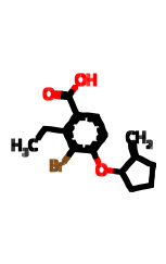 C=C1CCCC1Oc1ccc(C(=O)O)c(CC)c1Br